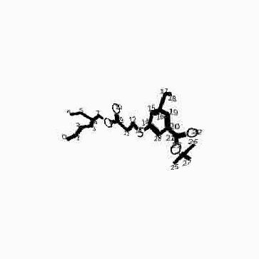 CCCCC(CC)COC(=O)CCSc1cc(CC)cc(C(=O)OC(C)(C)C)c1